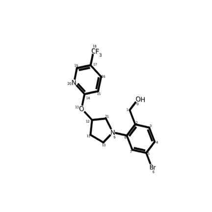 OCc1ccc(Br)cc1N1CCC(Oc2ccc(C(F)(F)F)cn2)C1